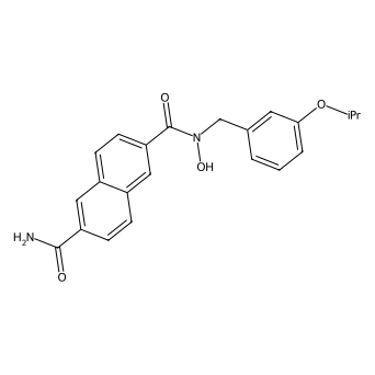 CC(C)Oc1cccc(CN(O)C(=O)c2ccc3cc(C(N)=O)ccc3c2)c1